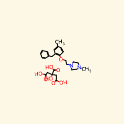 Cc1ccc(OCCN2CCN(C)CC2)c(Cc2ccccc2)c1.O=C(O)CC(O)(CC(=O)O)C(=O)O